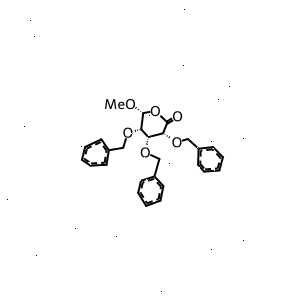 CO[C@@H]1OC(=O)[C@H](OCc2ccccc2)[C@H](OCc2ccccc2)[C@@H]1OCc1ccccc1